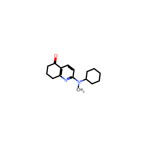 CN(c1ccc2c(n1)CCCC2=O)C1CCCCC1